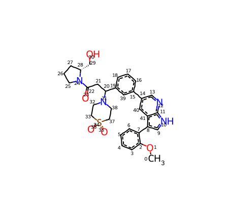 COc1ccccc1-c1c[nH]c2ncc(-c3cccc(C(CC(=O)N4CCC[C@@H]4CO)N4CCS(=O)(=O)CC4)c3)cc12